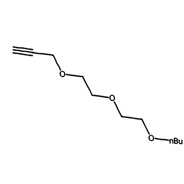 C#CCOCCOCCOCCCC